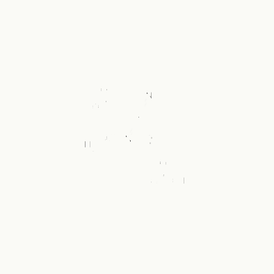 C=C=C[C@@H]1CC2(CCC1C(C#N)(C#N)CC#CCOC(C)=O)OCCO2